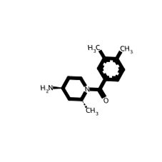 Cc1ccc(C(=O)N2CC[C@H](N)C[C@H]2C)cc1C